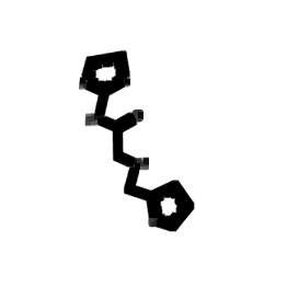 O=C(CNCc1ccco1)Nc1nccs1